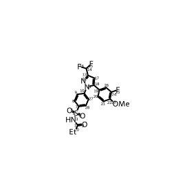 CCC(=O)NS(=O)(=O)c1ccc(-n2nc(C(F)F)cc2-c2ccc(OC)c(F)c2)cc1